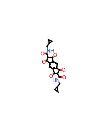 O=C(NCC1CC1)C1C(=O)c2cc3c(cc2C1=O)C(=O)C(C(=O)NCC1CC1)C3=O